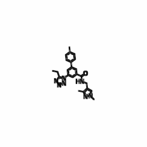 CCc1nnnn1-c1cc(C(=O)NCc2cn(C)nc2C)cc(-c2ccc(C)cc2)c1